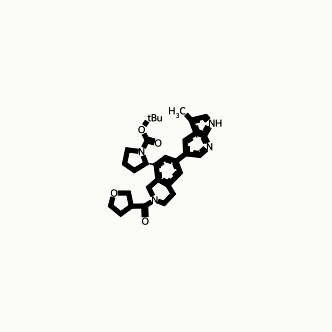 Cc1c[nH]c2ncc(-c3cc4c(c([C@@H]5CCCN5C(=O)OC(C)(C)C)c3)CN(C(=O)C3CCOC3)CC4)cc12